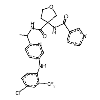 CC(NC(=O)C1(NC(=O)c2cncnc2)CCOC1)c1ccc(Nc2ccc(Cl)cc2C(F)(F)F)cn1